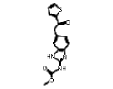 COC(=O)Nc1nc2ccc(CC(=O)c3cccs3)cc2[nH]1